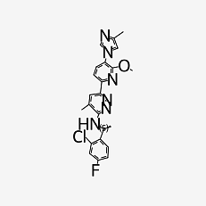 COc1nc(-c2cc(C)c(N[C@@H](C)c3ccc(F)cc3Cl)nn2)ccc1-n1cnc(C)c1